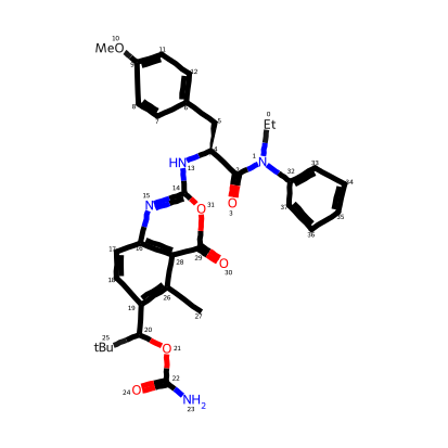 CCN(C(=O)[C@H](Cc1ccc(OC)cc1)Nc1nc2ccc(C(OC(N)=O)C(C)(C)C)c(C)c2c(=O)o1)c1ccccc1